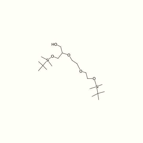 CC(C)(C)[Si](C)(C)OCCOCCOC(CO)CO[Si](C)(C)C(C)(C)C